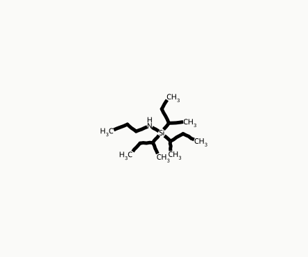 CCCN[Si](C(C)CC)(C(C)CC)C(C)CC